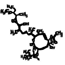 CC[C@H](OC)[C@@H](C)[C@H]1O[C@@H]1C(O)C(C)/C=C/C=C(\C)C1OC(=O)C[C@H](O[Si](C)(C)C(C)(C)C)CC[C@@](C)(O)[C@@H](OC(C)=O)/C=C/[C@@H]1C